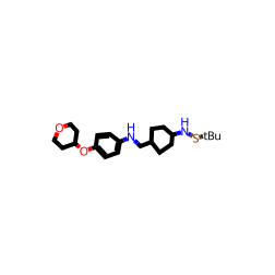 CC(C)(C)SNC1CCC(CNc2ccc(OC3CCOCC3)cc2)CC1